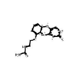 NC(=O)NCCOC1=CC=CC2Oc3c[nH]c(=O)nc3NC12